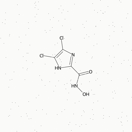 O=C(NO)c1nc(Cl)c(Cl)[nH]1